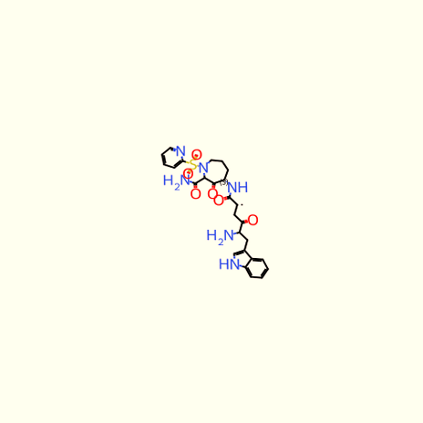 NC(=O)C1C(=O)[C@@H](NC(=O)[CH]CC(=O)C(N)Cc2c[nH]c3ccccc23)CCCN1S(=O)(=O)c1ccccn1